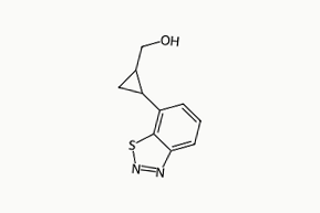 OCC1CC1c1cccc2nnsc12